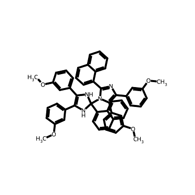 COc1cccc(C2=C(c3cccc(OC)c3)NC(c3cccc4ccccc34)(n3c(-c4cccc5ccccc45)nc(-c4cccc(OC)c4)c3-c3cccc(OC)c3)N2)c1